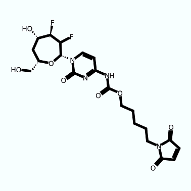 O=C(Nc1ccn([C@@H]2O[C@H](CO)C[C@H](O)[C@@H](F)C2F)c(=O)n1)OCCCCCN1C(=O)C=CC1=O